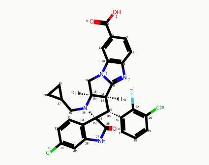 O=C(O)c1ccc2nc3n(c2c1)C[C@H]1[C@@H]3[C@H](c2cccc(Cl)c2F)[C@]2(C(=O)Nc3cc(Cl)ccc32)N1CC1CC1